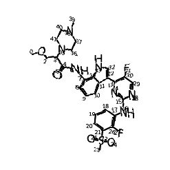 COCC(C(=O)Nc1cccc2c(-c3nc(Nc4cccc(S(C)(=O)=O)c4F)ncc3F)c[nH]c12)N1CCN(C)CC1